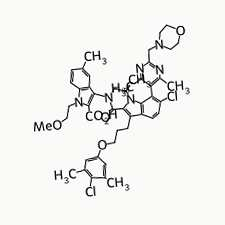 COCCn1c(C(=O)O)c(N2C[C@@H](C)n3c(c(CCCOc4cc(C)c(Cl)c(C)c4)c4ccc(Cl)c(-c5c(C)nc(CN6CCOCC6)nc5C)c43)C2=O)c2cc(C)ccc21